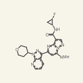 CNc1cc(-c2nn(C3CCOCC3)c3ncccc23)nc2c(C(=O)N[C@H]3C[C@H]3F)cnn12